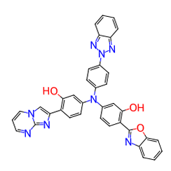 Oc1cc(N(c2ccc(-n3nc4ccccc4n3)cc2)c2ccc(-c3nc4ccccc4o3)c(O)c2)ccc1-c1cn2cccnc2n1